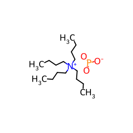 CCCC[N+](CCCC)(CCCC)CCCC.O=P(=O)[O-]